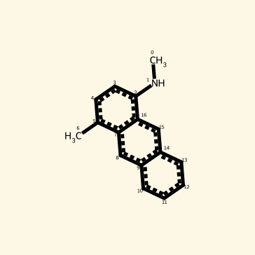 CNc1ccc(C)c2cc3ccccc3cc12